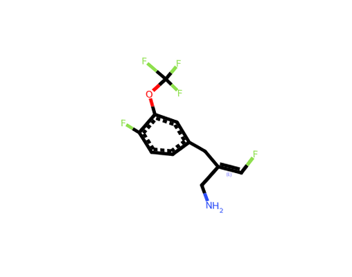 NC/C(=C/F)Cc1ccc(F)c(OC(F)(F)F)c1